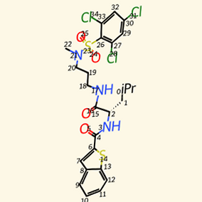 CC(C)C[C@H](NC(=O)c1cc2ccccc2s1)C(=O)NCCCN(C)S(=O)(=O)c1c(Cl)cc(Cl)cc1Cl